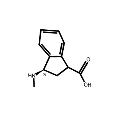 CN[C@@H]1CC(C(=O)O)c2ccccc21